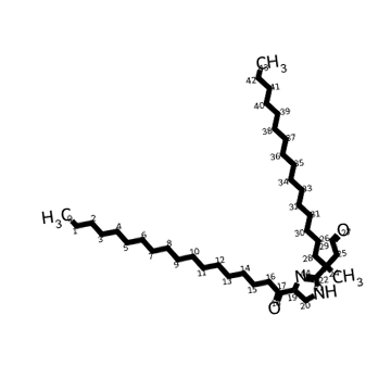 CCCCCCCCCCCCCCCCCC(=O)C1CNC(C(C)(CC=O)CCCCCCCCCCCCCCCC)=N1